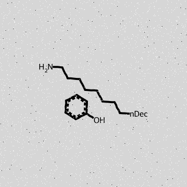 CCCCCCCCCCCCCCCCCCN.Oc1ccccc1